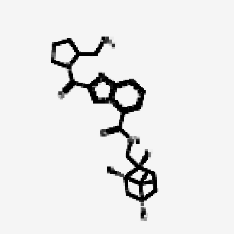 CC1(C)[C@H]2CC[C@@H](CNC(=O)c3cccc4nc(C(=O)N5CCCC5CN)cn34)[C@@H]1C2